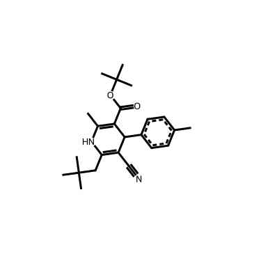 CC1=C(C(=O)OC(C)(C)C)C(c2ccc(C)cc2)C(C#N)=C(CC(C)(C)C)N1